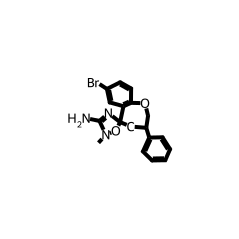 CN1OC2(CC(c3ccccc3)COc3ccc(Br)cc32)N=C1N